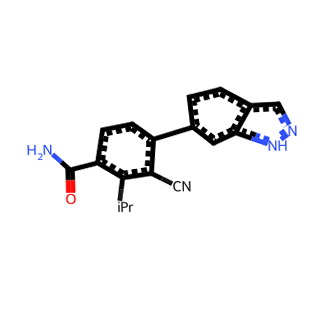 CC(C)c1c(C(N)=O)ccc(-c2ccc3cn[nH]c3c2)c1C#N